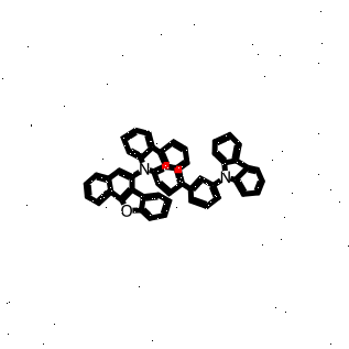 c1ccc(-c2ccccc2N(c2ccc(-c3cccc(-n4c5ccccc5c5ccccc54)c3)cc2)c2cc3ccccc3c3oc4ccccc4c23)cc1